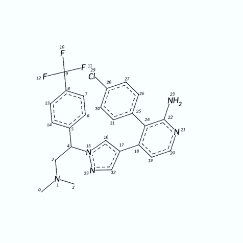 CN(C)CC(c1ccc(C(F)(F)F)cc1)n1cc(-c2ccnc(N)c2-c2ccc(Cl)cc2)cn1